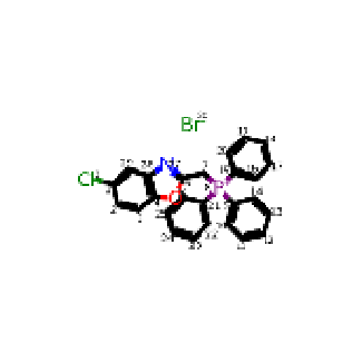 Clc1ccc2oc(C[P+](c3ccccc3)(c3ccccc3)c3ccccc3)nc2c1.[Br-]